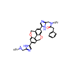 CCCN(C)Cc1ncc(-c2cc3c4c(c2)OCc2cc(-c5cnc(CN(CCC)C(=O)Cc6ccccc6)[nH]5)cc(c2-4)OC3)[nH]1